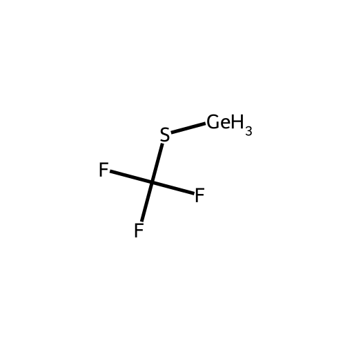 FC(F)(F)[S][GeH3]